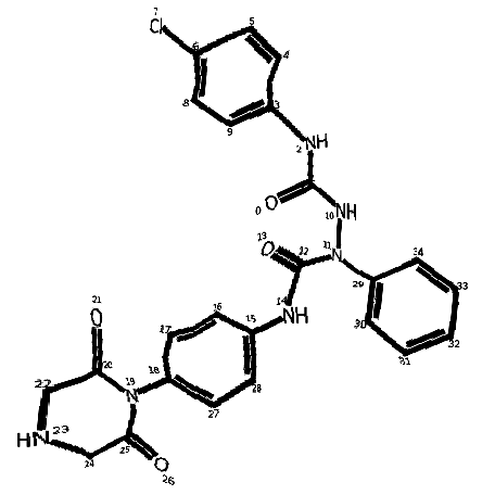 O=C(Nc1ccc(Cl)cc1)NN(C(=O)Nc1ccc(N2C(=O)CNCC2=O)cc1)c1ccccc1